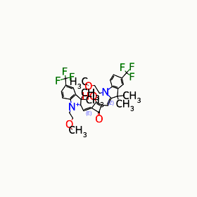 COCCN1/C(=C\C2=C(O)C(=C\C3=[N+](CCOC)c4ccc(C(F)(F)F)cc4C3(C)C)/C2=O)C(C)(C)c2cc(C(F)(F)F)ccc21